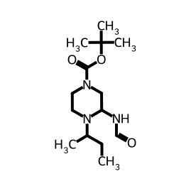 CCC(C)N1CCN(C(=O)OC(C)(C)C)CC1NC=O